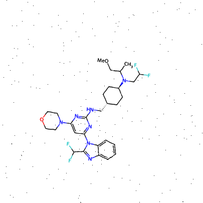 COCC(C)N(CC(F)F)[C@H]1CC[C@H](CNc2nc(N3CCOCC3)cc(-n3c(C(F)F)nc4ccccc43)n2)CC1